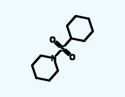 O=S(=O)(C1CCCCC1)N1CCCCC1